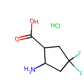 Cl.NC1CC(F)(F)CC1C(=O)O